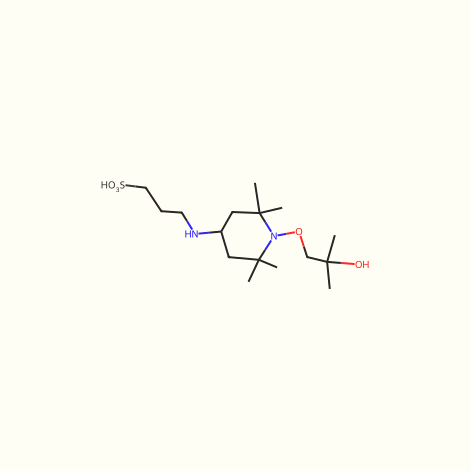 CC(C)(O)CON1C(C)(C)CC(NCCCS(=O)(=O)O)CC1(C)C